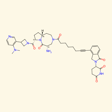 CN(C)c1ccncc1C1CN(C(=O)[C@@H]2CC[C@@H]3CCN(C(=O)CCCCCC#Cc4cccc5c4CN(C4CCC(=O)NC4=O)C5=O)C[C@H](N)C(=O)N32)C1